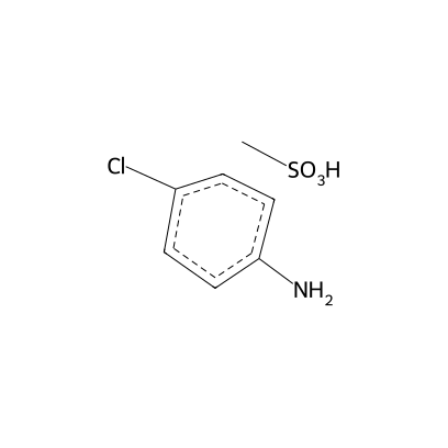 CS(=O)(=O)O.Nc1ccc(Cl)cc1